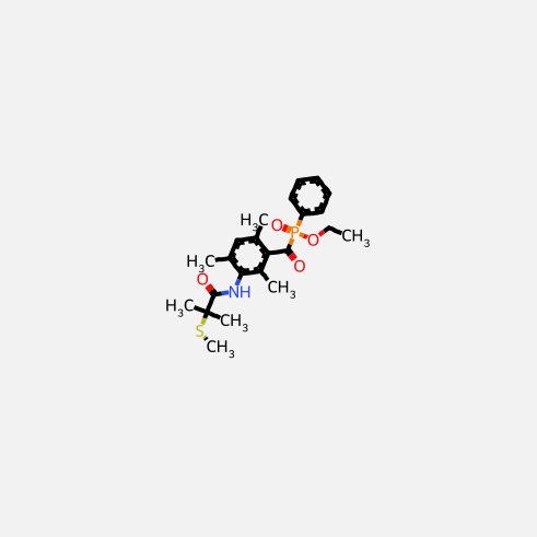 CCOP(=O)(C(=O)c1c(C)cc(C)c(NC(=O)C(C)(C)SC)c1C)c1ccccc1